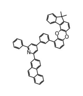 CC1(C)c2ccccc2-c2c1ccc1c2Oc2c(cccc2-c2cccc(-c3cc(-c4ccccc4)nc(-c4ccc5c(ccc6ccccc65)c4)c3)c2)O1